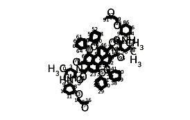 CC(C)CC(C(=O)NC1CCCC(OCC2CO2)C1)N1C(=O)c2cc(Oc3ccccc3)c3c4c(Oc5ccccc5)cc5c6c(cc(Oc7ccccc7)c(c7c(Oc8ccccc8)cc(c2c37)C1=O)c64)C(=O)N(C(CC(C)C)C(=O)NC1CCCC(OCC2CO2)C1)C5=O